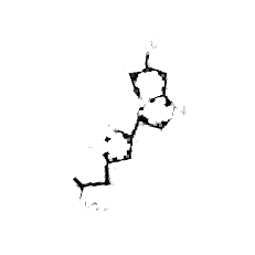 COC(=O)Cc1cc(-c2cnc3cc(Br)ccn23)no1